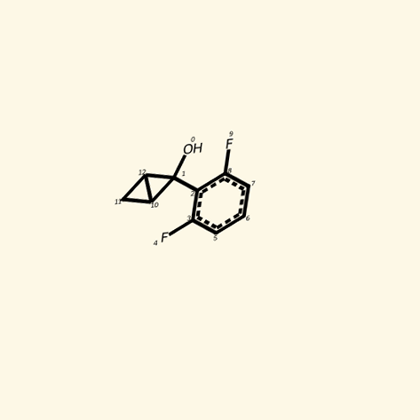 OC1(c2c(F)cccc2F)C2CC21